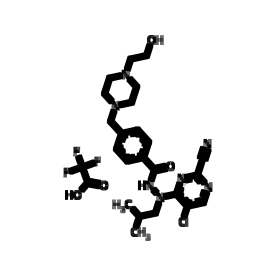 CC(C)CN(NC(=O)c1ccc(CN2CCN(CCO)CC2)cc1)c1nc(C#N)ncc1Cl.O=C(O)C(F)(F)F